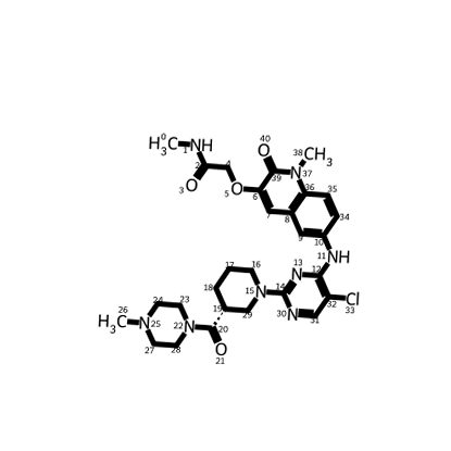 CNC(=O)COc1cc2cc(Nc3nc(N4CCC[C@@H](C(=O)N5CCN(C)CC5)C4)ncc3Cl)ccc2n(C)c1=O